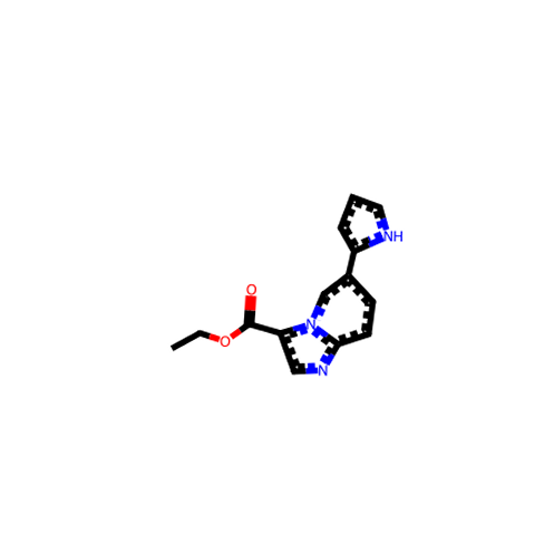 CCOC(=O)c1cnc2ccc(-c3ccc[nH]3)cn12